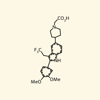 COc1ccc(-c2[nH]c3ccc(C4CCN(CC(=O)O)CC4)cc3c2CC(F)(F)F)cc1OC